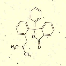 CN(C)Cc1ccccc1C1(c2ccccc2)OC(=O)c2ccccc21